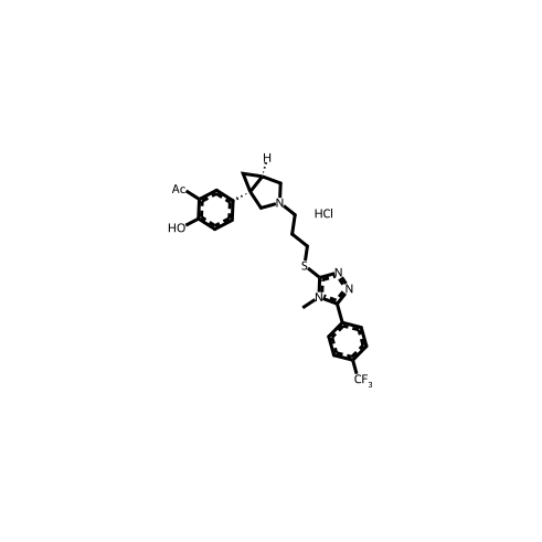 CC(=O)c1cc([C@]23C[C@H]2CN(CCCSc2nnc(-c4ccc(C(F)(F)F)cc4)n2C)C3)ccc1O.Cl